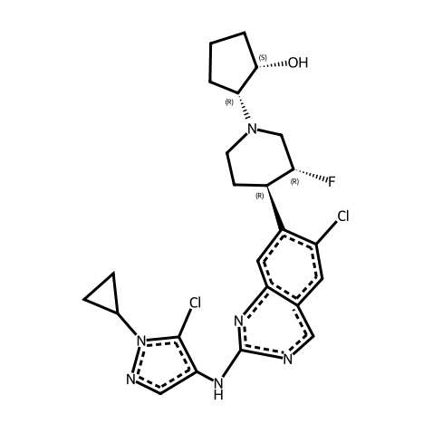 O[C@H]1CCC[C@H]1N1CC[C@H](c2cc3nc(Nc4cnn(C5CC5)c4Cl)ncc3cc2Cl)[C@@H](F)C1